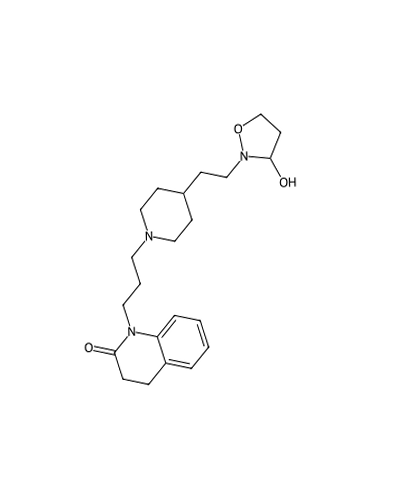 O=C1CCc2ccccc2N1CCCN1CCC(CCN2OCCC2O)CC1